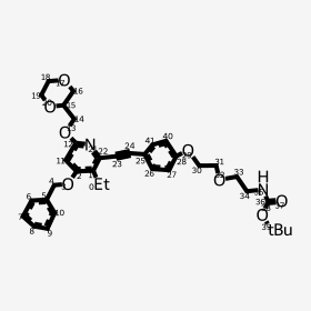 CCc1c(OCc2ccccc2)cc(OCC2COCCO2)nc1C#Cc1ccc(OCCOCCNC(=O)OC(C)(C)C)cc1